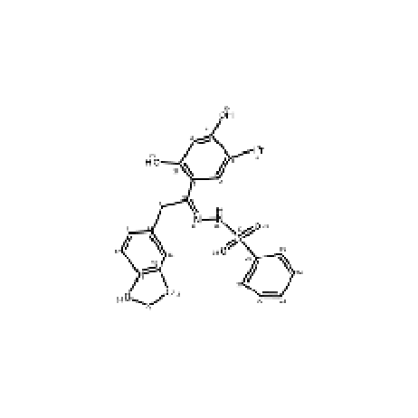 CC(C)c1cc(C(Cc2ccc3c(c2)OCO3)=NNS(=O)(=O)c2ccccc2)c(O)cc1O